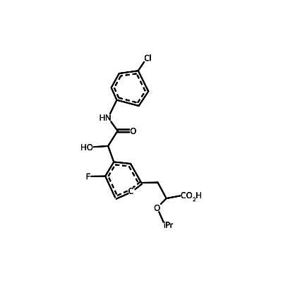 CC(C)OC(Cc1ccc(F)c(C(O)C(=O)Nc2ccc(Cl)cc2)c1)C(=O)O